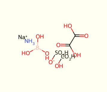 N.O=C(O)C(=O)O.O=C(O)O.O=S(=O)([O-])O.OB(O)O.[Na+]